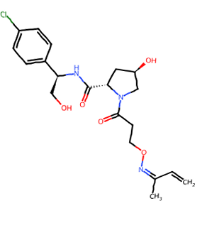 C=C/C(C)=N\OCCC(=O)N1C[C@H](O)C[C@H]1C(=O)N[C@@H](CO)c1ccc(Cl)cc1